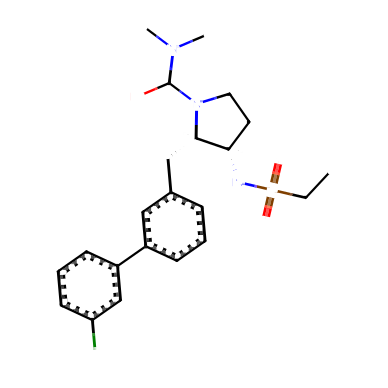 CCS(=O)(=O)N[C@H]1CCN(C(O)N(C)C)[C@H]1Cc1cccc(-c2cccc(F)c2)c1